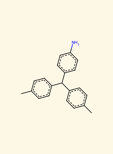 Cc1ccc(C(c2ccc(C)cc2)c2ccc(N)cc2)cc1